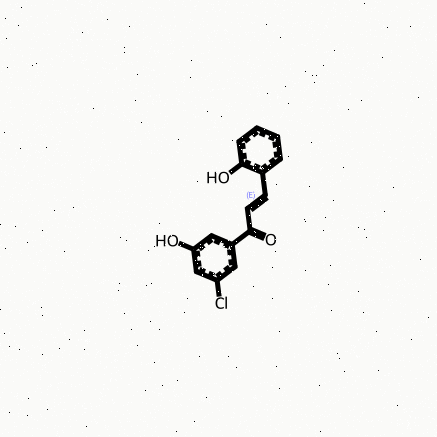 O=C(/C=C/c1ccccc1O)c1cc(O)cc(Cl)c1